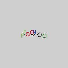 CC(F)(F)COCc1cc(-c2ccc(Cl)cc2)no1